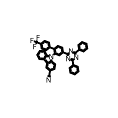 N#Cc1ccc2c(c1)c1ccccc1n2-c1cc(-c2nc(-c3ccccc3)nc(-c3ccccc3)n2)ccc1-c1ccc(C(F)(F)F)cc1